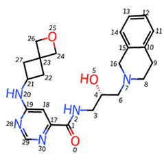 O=C(NC[C@H](O)CN1CCc2ccccc2C1)c1cc(NC2CC3(COC3)C2)ncn1